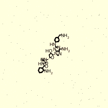 NCc1ccc(Nc2nc(N)c3ncn([C@@H]4O[C@H](CNS(=O)(=O)NC(=O)c5ccccc5N)C[C@H]4O)c3n2)cc1